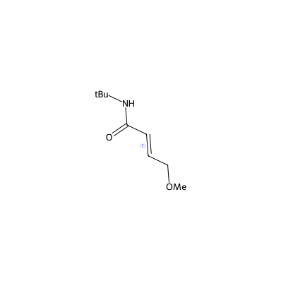 COC/C=C/C(=O)NC(C)(C)C